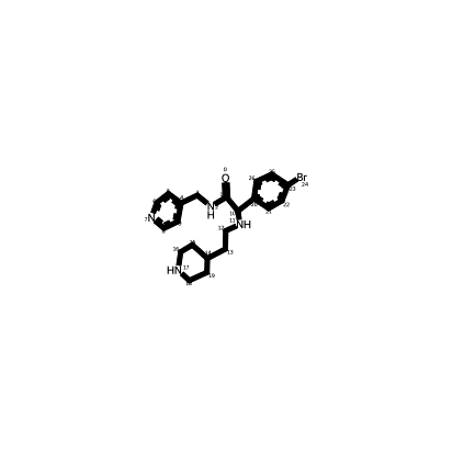 O=C(NCc1ccncc1)C(NCCC1CCNCC1)c1ccc(Br)cc1